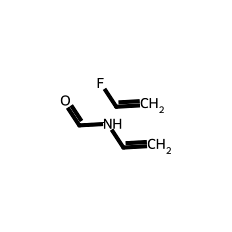 C=CF.C=CNC=O